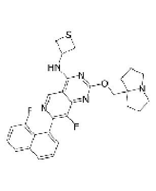 Fc1c(-c2cccc3cccc(F)c23)ncc2c(NC3CSC3)nc(OCC34CCCN3CCC4)nc12